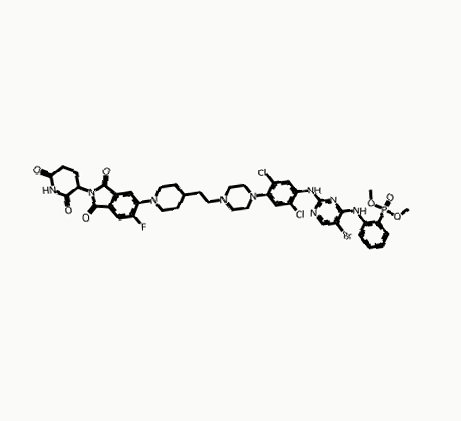 COP(=O)(OC)c1ccccc1Nc1nc(Nc2cc(Cl)c(N3CCN(CCC4CCN(c5cc6c(cc5F)C(=O)N(C5CCC(=O)NC5=O)C6=O)CC4)CC3)cc2Cl)ncc1Br